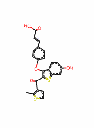 Cc1sccc1C(=O)c1sc2cc(O)ccc2c1Oc1ccc(/C=C/C(=O)O)cc1